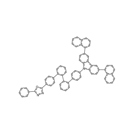 c1ccc(-c2nnc(-c3ccc(-c4ccccc4-c4ccccc4-c4ccc(-n5c6ccc(-c7cccc8ccccc78)cc6c6cc(-c7cccc8ccccc78)ccc65)cc4)cc3)o2)cc1